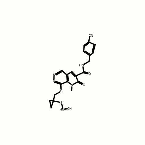 Cn1c(=O)c(C(=O)NCc2ccc(C#N)cc2)cc2cnnc(OCC3(SNC#N)CC3)c21